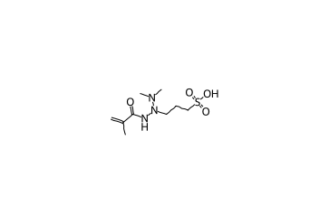 C=C(C)C(=O)NN(CCCS(=O)(=O)O)N(C)C